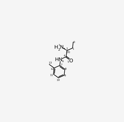 CC[C@H](N)C(=O)Nc1ccccc1C